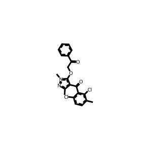 Cc1ccc(Cl)c(C(=O)c2c(C)nn(C)c2OCC(=O)c2ccccc2)c1Cl